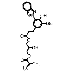 C=C(C)C(=O)OCC(O)COC(=O)CCc1cc(-n2nc3ccccc3n2)c(O)c(C(C)(C)C)c1